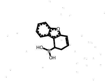 OB(O)C1CC=Cc2oc3ccccc3c21